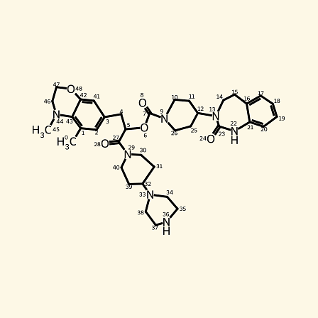 Cc1cc(CC(OC(=O)N2CCC(N3CCc4ccccc4NC3=O)CC2)C(=O)N2CCC(N3CCNCC3)CC2)cc2c1N(C)CCO2